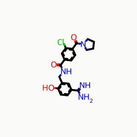 N=C(N)c1ccc(O)c(CNC(=O)c2ccc(C(=O)N3CCCC3)c(Cl)c2)c1